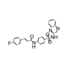 O=C(C=Cc1ccc(F)cc1)Nc1ccc(S(=O)(=O)Nc2cnc3ccccc3n2)cc1